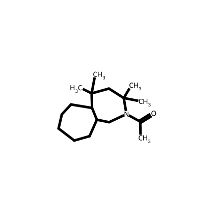 CC(=O)N1CC2CCCCCC2C(C)(C)CC1(C)C